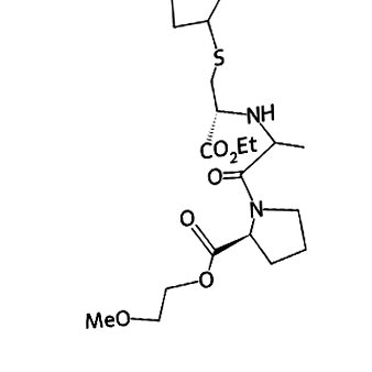 CCOC(=O)[C@H](CSC1CCCC1)NC(C)C(=O)N1CCC[C@H]1C(=O)OCCOC